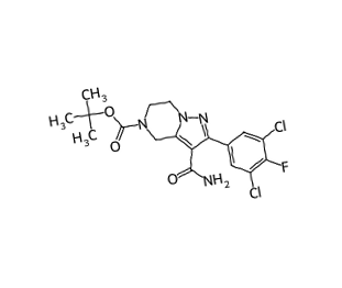 CC(C)(C)OC(=O)N1CCn2nc(-c3cc(Cl)c(F)c(Cl)c3)c(C(N)=O)c2C1